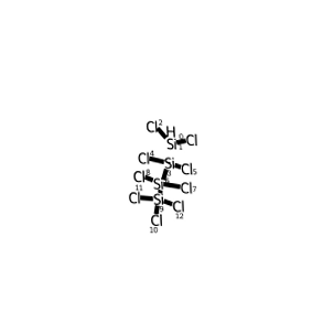 Cl[SiH](Cl)[Si](Cl)(Cl)[Si](Cl)(Cl)[Si](Cl)(Cl)Cl